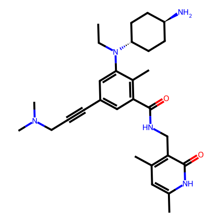 CCN(c1cc(C#CCN(C)C)cc(C(=O)NCc2c(C)cc(C)[nH]c2=O)c1C)[C@H]1CC[C@H](N)CC1